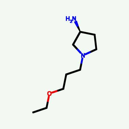 CCOCCCN1CC[C@H](N)C1